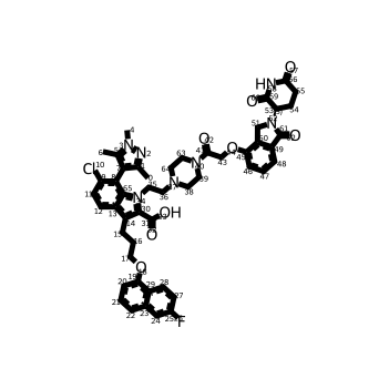 Cc1nn(C)c(C)c1-c1c(Cl)ccc2c(CCCOc3cccc4cc(F)ccc34)c(C(=O)O)n(CCN3CCN(C(=O)COc4cccc5c4CN([C@H]4CCC(=O)NC4=O)C5=O)CC3)c12